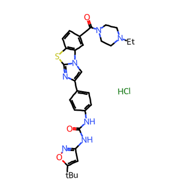 CCN1CCN(C(=O)c2ccc3sc4nc(-c5ccc(NC(=O)Nc6cc(C(C)(C)C)on6)cc5)cn4c3c2)CC1.Cl